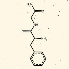 NC(=O)CNC(=O)[C@@H](N)Cc1ccccc1